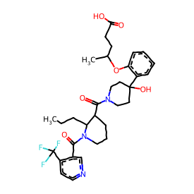 CCCC1C(C(=O)N2CCC(O)(c3ccccc3OC(C)CCC(=O)O)CC2)CCCN1C(=O)c1cnccc1C(F)(F)F